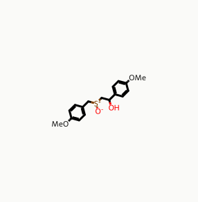 COc1ccc(C[S+]([O-])CC(O)c2ccc(OC)cc2)cc1